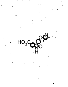 Cc1cc(C)c(O[C@H]2CC[C@@]3(CC2)C(=O)Nc2ccc(C(=O)O)cc23)cn1